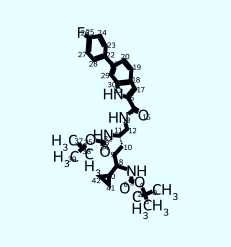 CC(C)(C)OC(=O)NC(CC[C@@H](CNC(=O)c1cc2ccc(-c3ccc(F)cc3)cc2[nH]1)NC(=O)OC(C)(C)C)C1CC1